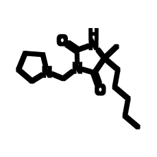 CCCCCC1(C)NC(=O)N(CN2CCCC2)C1=O